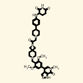 COc1cc(-c2cn(C)c(=O)c3[nH]ncc23)cc(OC)c1CN1CCC2(CC1)CN(C(=O)CN1CCC(c3ccc(NC4CCC(=O)NC4=O)cc3)CC1)C2